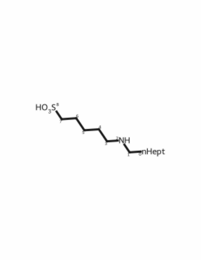 CCCCCCCCNCCCCCS(=O)(=O)O